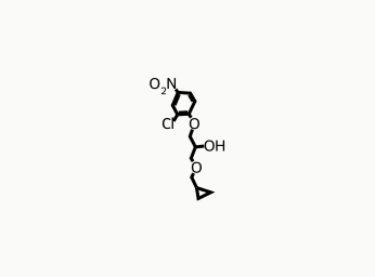 O=[N+]([O-])c1ccc(OCC(O)COCC2CC2)c(Cl)c1